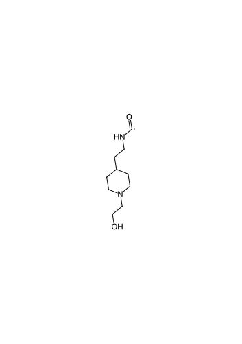 O=[C]NCCC1CCN(CCO)CC1